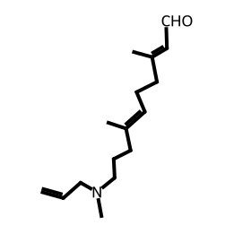 C=CCN(C)CCC/C(C)=C/CC/C(C)=C/C=O